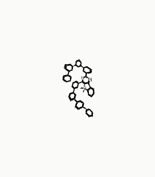 C[Si]1(C)c2ccccc2-c2nc(-c3cccc(-c4cccc(-c5cccc(-c6ccccc6)c5)c4)c3)nc(-c3cccc(-c4cccc(-c5ccc(-c6ccccc6)cc5)c4)c3)c21